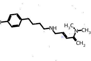 C=C(/C=C/CNCCCCc1ccc(I)cc1)N(C)C